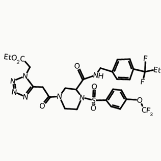 CCOC(=O)Cn1nnnc1CC(=O)N1CCN(S(=O)(=O)c2ccc(OC(F)(F)F)cc2)C(C(=O)NCc2ccc(C(F)(F)CC)cc2)C1